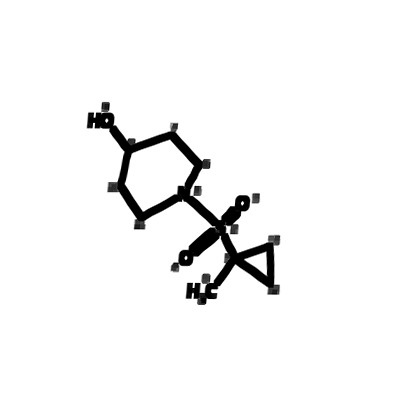 CC1(S(=O)(=O)N2CCC(O)CC2)CC1